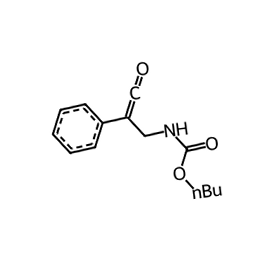 CCCCOC(=O)NCC(=C=O)c1ccccc1